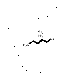 CCCC[CH2][Co].N.N